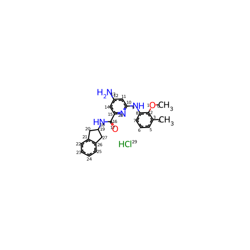 COc1c(C)cccc1Nc1cc(N)cc(C(=O)NC2Cc3ccccc3C2)n1.Cl